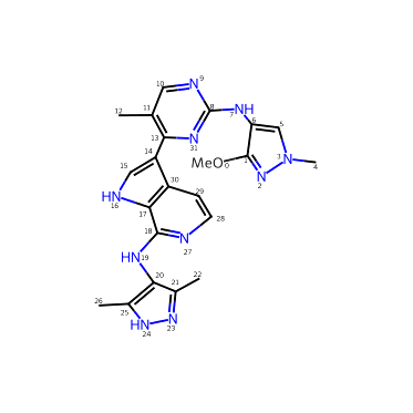 COc1nn(C)cc1Nc1ncc(C)c(-c2c[nH]c3c(Nc4c(C)n[nH]c4C)nccc23)n1